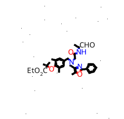 CCOC(=O)C(C)(C)Oc1c(C)cc(CN(CC(=O)NC(C)C=O)Cc2nc(-c3ccccc3)oc2C)cc1C